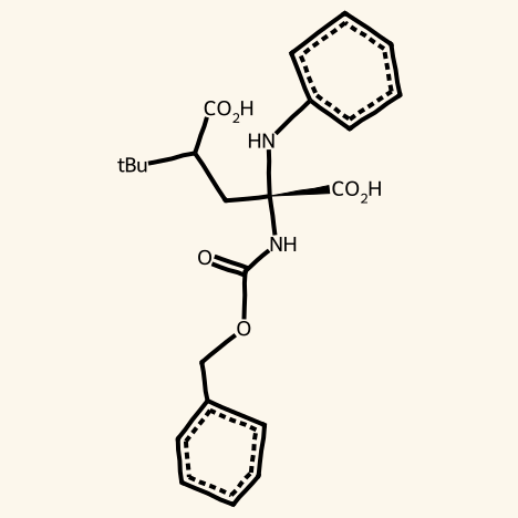 CC(C)(C)C(C[C@@](NC(=O)OCc1ccccc1)(Nc1ccccc1)C(=O)O)C(=O)O